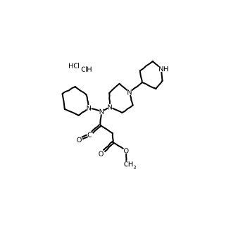 COC(=O)CC(=C=O)N(N1CCCCC1)N1CCN(C2CCNCC2)CC1.Cl.Cl